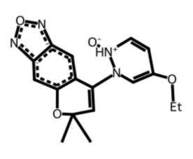 CCOC1=CN(C2=CC(C)(C)Oc3cc4nonc4cc32)[NH+]([O-])C=C1